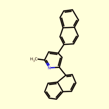 Cc1cc(-c2ccc3ccccc3c2)cc(-c2cccc3ccccc23)n1